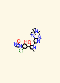 Cc1cc(-c2ccc(-n3ccn(C)c3=O)c(Cl)c2)c(O)c(-c2cnc3c(c2)N2CCC4(CCN4C(C)CN3C)C2)n1